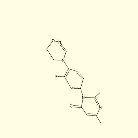 Cc1cc(=O)n(-c2ccc(N3C=NOCC3)c(F)c2)c(C)n1